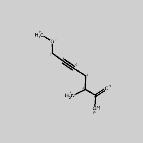 COCC#CCC(N)C(=O)O